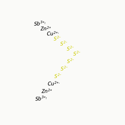 [Cu+2].[Cu+2].[S-2].[S-2].[S-2].[S-2].[S-2].[S-2].[S-2].[Sb+3].[Sb+3].[Zn+2].[Zn+2]